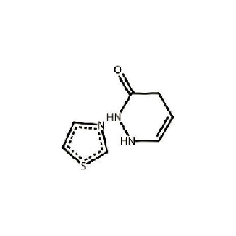 O=C1CC=CNN1.c1cscn1